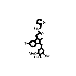 COC1=CC(=CC2=C(C)/C(=C\C(=O)NCc3cccn3C)c3cc(F)ccc32)C=C(OC)C1(C)O